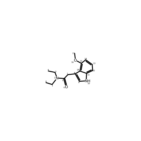 CCN(CC)C(=O)Cc1c[nH]c2cccc(OC)c12